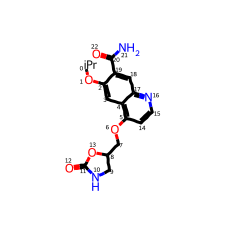 CC(C)Oc1cc2c(OCC3CNC(=O)O3)ccnc2cc1C(N)=O